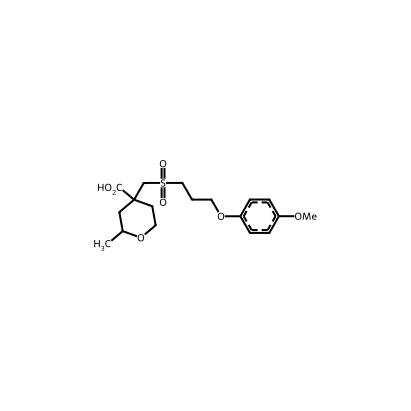 COc1ccc(OCCCS(=O)(=O)CC2(C(=O)O)CCOC(C)C2)cc1